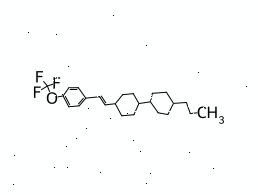 CCCC1CCC(C2CCC(C=Cc3ccc(OC(F)(F)F)cc3)CC2)CC1